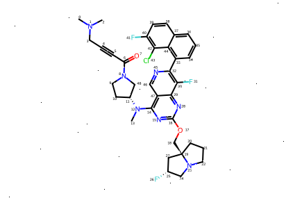 CN(C)CC#CC(=O)N1CC[C@@H](N(C)c2nc(OC[C@@]34CCCN3C[C@H](F)C4)nc3c(F)c(-c4cccc5ccc(F)c(Cl)c45)ncc23)C1